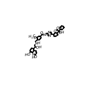 COc1cc(C(=O)NCc2cnc(-c3cccc(C(O)(C(=O)O)c4ccccc4)c3)cn2)ccc1CNCC(O)c1ccc(O)c2[nH]c(=O)ccc12